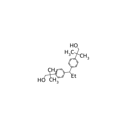 CCC(c1ccc(C(C)(C)CO)cc1)c1ccc(C(C)(C)CO)cc1